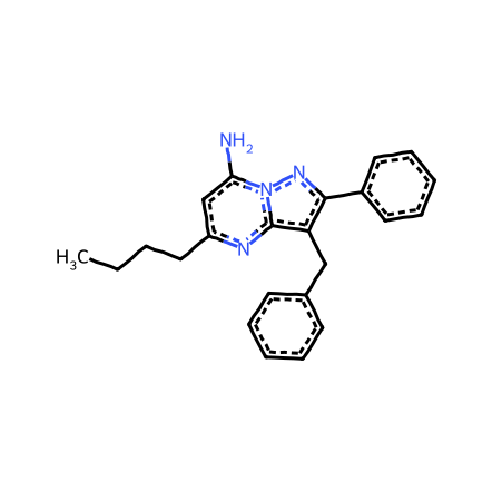 CCCCc1cc(N)n2nc(-c3ccccc3)c(Cc3ccccc3)c2n1